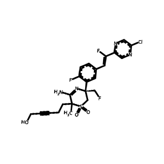 CC1(CCC#CCO)C(N)=N[C@](CF)(c2cc(/C=C(\F)c3cnc(Cl)cn3)ccc2F)CS1(=O)=O